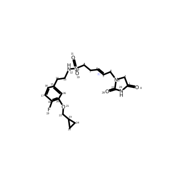 O=C1CN(C/C=C/CCS(=O)(=O)NCCc2ccc(F)c(OCC3CC3)c2)C(=O)N1